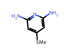 CSc1cc(N)nc(N)c1